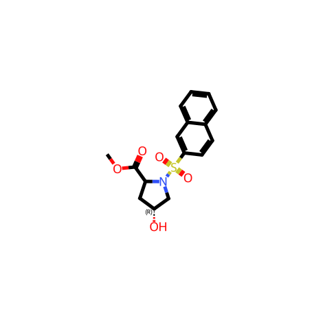 COC(=O)C1C[C@@H](O)CN1S(=O)(=O)c1ccc2ccccc2c1